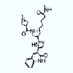 CNC(=O)CCCCCC(CNC(=O)C1CN(C)C1)c1ncc(-c2cc3ccccc3[nH]c2=O)[nH]1